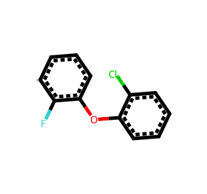 Fc1[c]cccc1Oc1ccccc1Cl